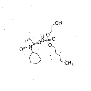 CCCCCOP(=O)(O)OCCO.O=C1C=CC(=O)N1C1CCCCC1